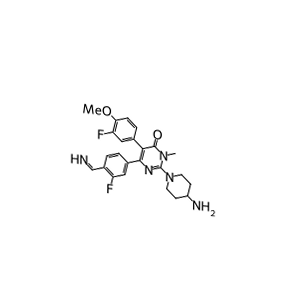 COc1ccc(-c2c(-c3ccc(C=N)c(F)c3)nc(N3CCC(N)CC3)n(C)c2=O)cc1F